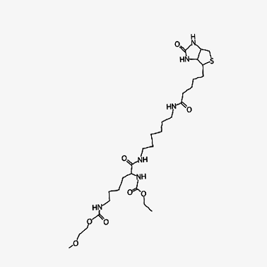 CCOC(=O)NC(CCCCNC(=O)OCCOC)C(=O)NCCCCCCNC(=O)CCCCC1SCC2NC(=O)NC21